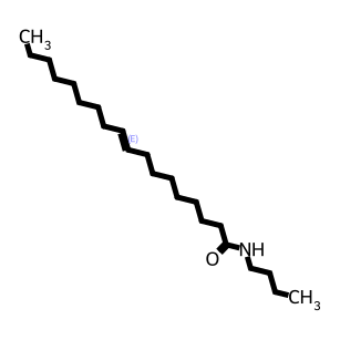 CCCCCCCC/C=C/CCCCCCCC(=O)NCCCC